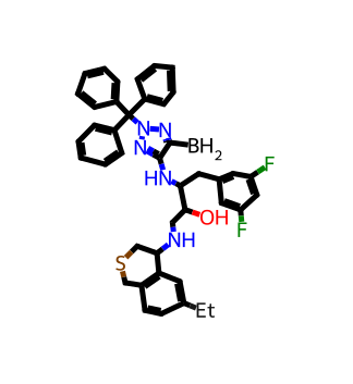 Bc1nn(C(c2ccccc2)(c2ccccc2)c2ccccc2)nc1NC(Cc1cc(F)cc(F)c1)C(O)CNC1CSCc2ccc(CC)cc21